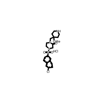 COC1(CN2CCN(S(=O)(=O)c3ccc4cc(Cl)ccc4c3)CC2=O)CCNCC1.Cl